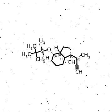 C#C[C@@H](C)[C@H]1CC[C@H]2[C@@H](O[Si](C)(C)C(C)(C)C)CCC[C@]12C